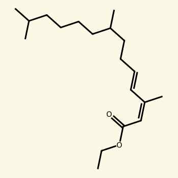 CCOC(=O)C=C(C)C=CCCC(C)CCCCC(C)C